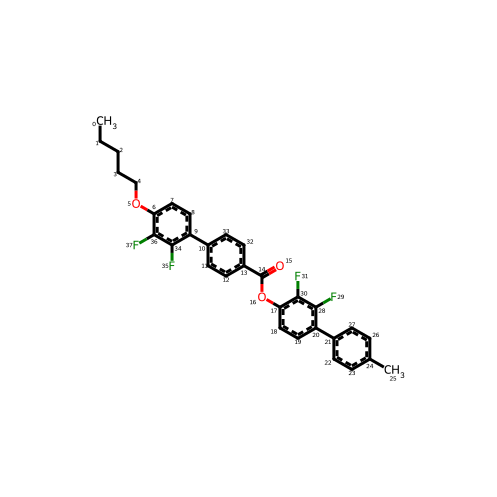 CCCCCOc1ccc(-c2ccc(C(=O)Oc3ccc(-c4ccc(C)cc4)c(F)c3F)cc2)c(F)c1F